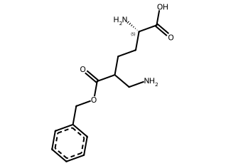 NCC(CC[C@H](N)C(=O)O)C(=O)OCc1ccccc1